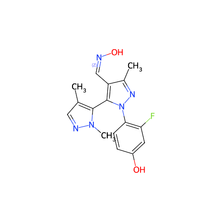 Cc1cnn(C)c1-c1c(/C=N\O)c(C)nn1-c1ccc(O)cc1F